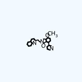 COc1ccc(-c2cccnc2)c2c1CN(CCc1ccc3ccccc3n1)C2=O